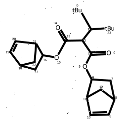 CC(C)(C)C(C(C(=O)OC1CC2C=CC1C2)C(=O)OC1CC2C=CC1C2)C(C)(C)C